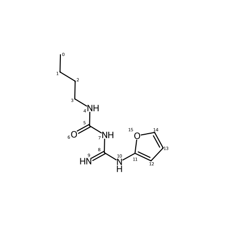 CCCCNC(=O)NC(=N)Nc1ccco1